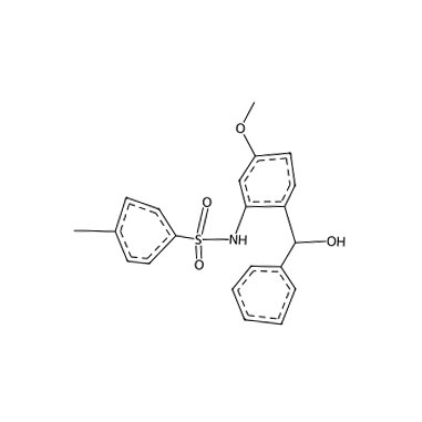 COc1ccc(C(O)c2ccccc2)c(NS(=O)(=O)c2ccc(C)cc2)c1